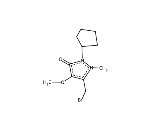 COc1c(CBr)n(C)n(C2CCCC2)c1=O